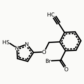 C#Cc1cccc(C(=O)Br)c1COc1ccn(S)n1